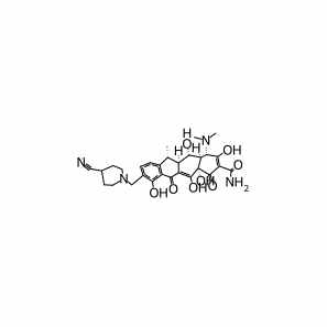 C[C@H]1c2ccc(CN3CCC(C#N)CC3)c(O)c2C(=O)C2=C(O)[C@]3(O)C(=O)C(C(N)=O)=C(O)[C@@H](N(C)C)[C@@H]3[C@@H](O)[C@@H]21